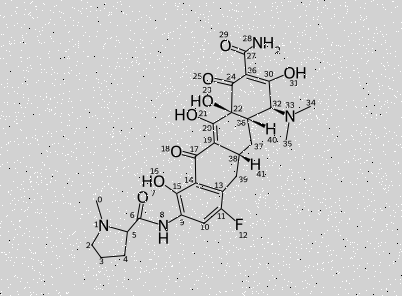 CN1CCCC1C(=O)Nc1cc(F)c2c(c1O)C(=O)C1=C(O)[C@]3(O)C(=O)C(C(N)=O)=C(O)[C@@H](N(C)C)[C@@H]3C[C@@H]1C2